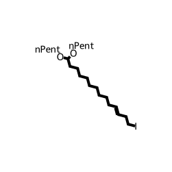 CCCCCOC(CCCCCCCCC/C=C/CCI)OCCCCC